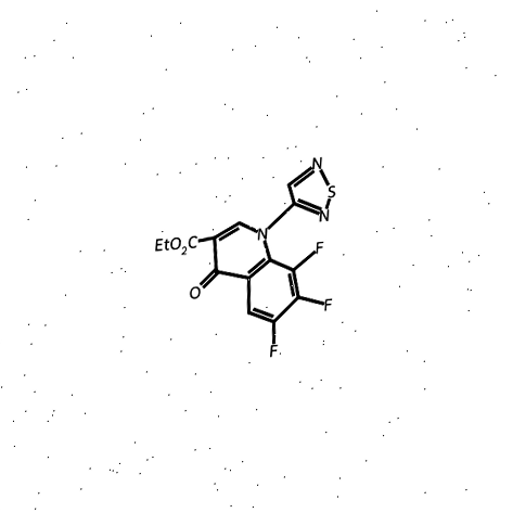 CCOC(=O)c1cn(-c2cnsn2)c2c(F)c(F)c(F)cc2c1=O